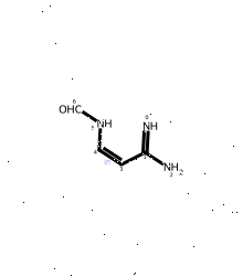 N=C(N)/C=C\NC=O